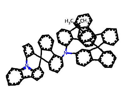 CC1(C)c2ccccc2-c2c(N(c3ccc4c(c3)C3(c5ccccc5-4)c4ccccc4-c4c3ccc3ccccc43)c3cccc4c3-c3ccccc3C43c4ccccc4-n4c5ccccc5c5cccc3c54)cccc21